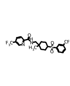 CC1(CNC(=O)c2ccc(C(F)(F)F)cn2)CCC(S(=O)(=O)c2cccc(C(F)(F)F)c2)CC1